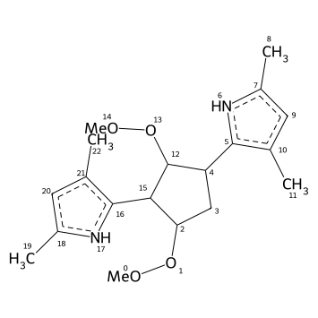 COOC1CC(c2[nH]c(C)cc2C)C(OOC)C1c1[nH]c(C)cc1C